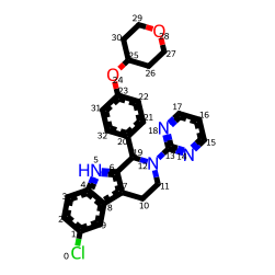 Clc1ccc2[nH]c3c(c2c1)CCN(c1ncccn1)C3c1ccc(OC2CCOCC2)cc1